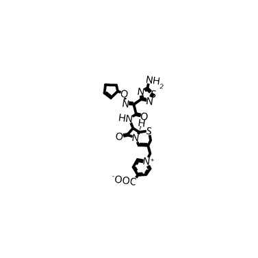 Nc1nc(C(=NOC2C=CCC2)C(=O)NC2C(=O)N3C=C(C[n+]4ccc(C(=O)[O-])cc4)CS[C@H]23)ns1